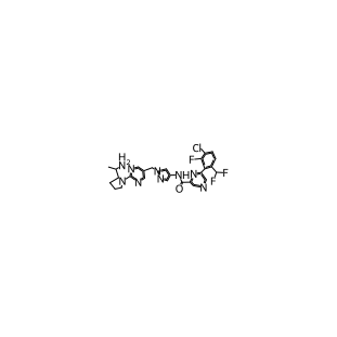 CC(N)C1CCCN1c1ncc(Cn2cc(NC(=O)c3cncc(-c4c(C(F)F)ccc(Cl)c4F)n3)cn2)cn1